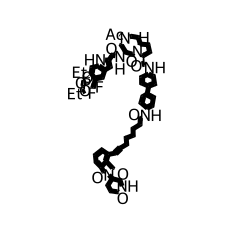 CCOP(=O)(OCC)C(F)(F)c1ccc2[nH]c(C(=O)N[C@H]3CN(C(C)=O)CC[C@H]4CC[C@@H](C(=O)Nc5ccc(-c6ccc(NC(=O)CCCCCC#Cc7cccc8c7CN(C7CCC(=O)NC7=O)C8=O)cc6)cc5)N4C3=O)cc2c1